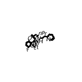 CCCC(=O)N(CCc1ccccn1)NC1(S(=O)(=O)CC)CC(C)(C)Oc2ccc(F)cc21